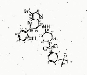 O=S(=O)(c1cccc(C(F)(F)F)c1)N1CCC(Nc2cc(-c3ccccc3Cl)nc3c(Br)cnn23)CC1